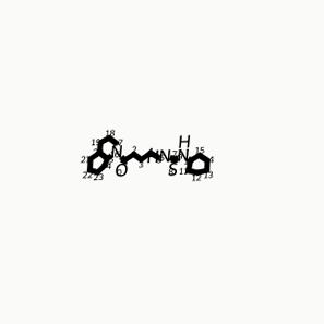 O=C(CCCCNC(=S)NC1CCCCC1)N1CCCC2CCCCC21